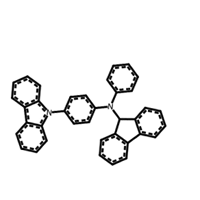 c1ccc(N(c2ccc(-n3c4ccccc4c4ccccc43)cc2)C2c3ccccc3-c3ccccc32)cc1